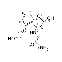 NC(=O)CN/C(=C/C(=O)O)c1ccccc1OCCO